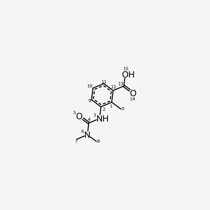 Cc1c(NC(=O)N(C)C)cccc1C(=O)O